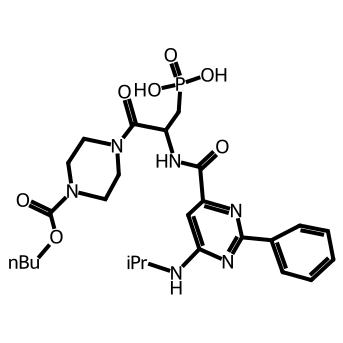 CCCCOC(=O)N1CCN(C(=O)C(CP(=O)(O)O)NC(=O)c2cc(NC(C)C)nc(-c3ccccc3)n2)CC1